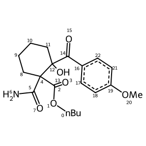 CCCCOC(=O)C1(C(N)=O)CCCCC1(O)C(=O)c1ccc(OC)cc1